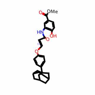 COC(=O)c1ccc(O)c(NC(=O)/C=C/Oc2ccc(C34CC5CC(CC(C5)C3)C4)cc2)c1